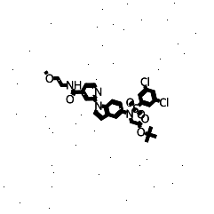 COCCNC(=O)c1ccnc(-n2ccc3cc(N(CC(=O)OC(C)(C)C)S(=O)(=O)c4cc(Cl)cc(Cl)c4)ccc32)c1